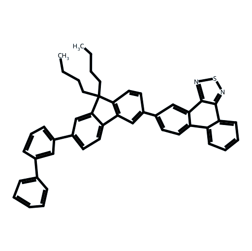 CCCCC1(CCCC)c2ccc(-c3ccc4c5ccccc5c5nsnc5c4c3)cc2-c2ccc(-c3cccc(-c4ccccc4)c3)cc21